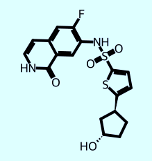 O=c1[nH]ccc2cc(F)c(NS(=O)(=O)c3ccc([C@H]4CC[C@H](O)C4)s3)cc12